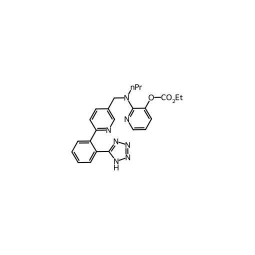 CCCN(Cc1ccc(-c2ccccc2-c2nnn[nH]2)nc1)c1ncccc1OC(=O)OCC